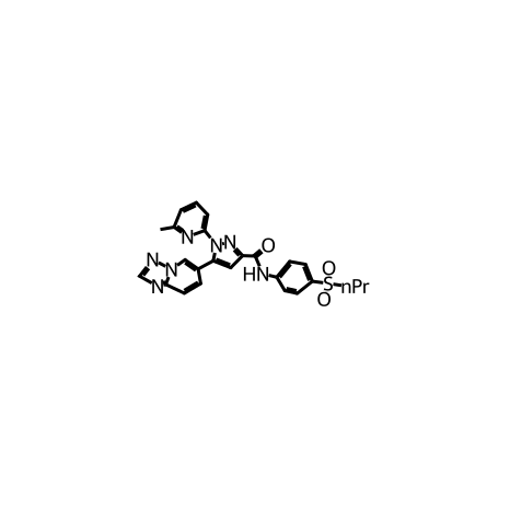 CCCS(=O)(=O)c1ccc(NC(=O)c2cc(-c3ccc4ncnn4c3)n(-c3cccc(C)n3)n2)cc1